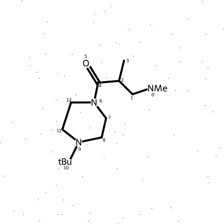 CNCC(C)C(=O)N1CCN(C(C)(C)C)CC1